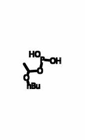 CCCCOC(C)OP(O)O